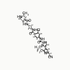 CC1CN(C(=O)NC2CC(NC(=O)c3ccc(NC(=O)c4ncc(-c5cn(CC#N)nc5C(F)(F)F)n4C)cc3Cl)C2)CCN1